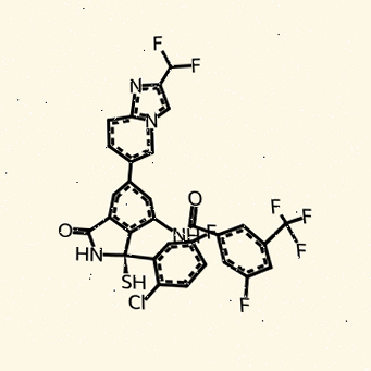 O=C(Nc1cc(-c2ccc3nc(C(F)F)cn3c2)cc2c1[C@](S)(c1cc(F)ccc1Cl)NC2=O)c1cc(F)cc(C(F)(F)F)c1